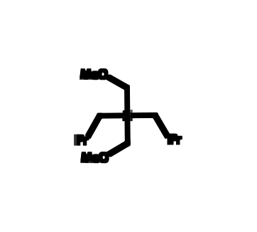 COC[Si](COC)(CC(C)C)CC(C)C